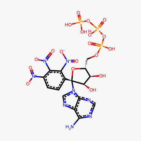 Nc1ncnc2c1ncn2[C@]1(c2ccc([N+](=O)[O-])c([N+](=O)[O-])c2[N+](=O)[O-])O[C@H](COP(=O)(O)OP(=O)(O)OP(=O)(O)O)[C@@H](O)[C@H]1O